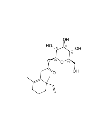 C=CC1(C)CCCC(C)=C1CC(=O)O[C@@H]1O[C@H](CO)[C@@H](O)[C@H](O)[C@H]1O